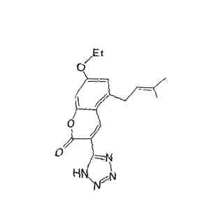 CCOc1cc(CC=C(C)C)c2cc(-c3nnn[nH]3)c(=O)oc2c1